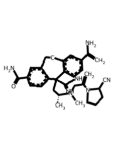 C=C(N)c1ccc2c(c1)CCc1cc(C(N)=O)ccc1C2(C[C@@H](C)N(C)CC(=C)N1CCCC1C#N)C(=N)N